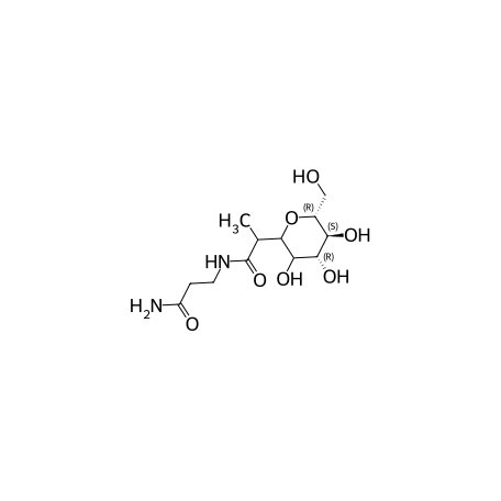 CC(C(=O)NCCC(N)=O)C1O[C@H](CO)[C@@H](O)[C@H](O)C1O